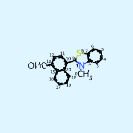 CN1c2ccccc2SC1c1ccc(C=O)c2ccccc12